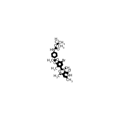 COc1cc(C)[nH]c(=O)c1N(C)C(=O)c1cc(Br)c2c(c1C)OC(C)([C@H]1CC[C@H](NC(=O)OC(C)(C)C)CC1)O2